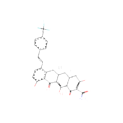 NC(=O)C1=C(O)C[C@@H]2C[C@@H]3Cc4c(/C=C/c5ccc(C(F)(F)F)cc5)ccc(O)c4C(=O)C3=C(O)[C@]2(O)C1=O